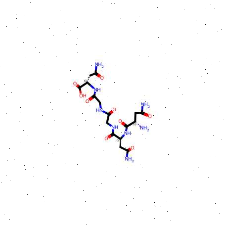 NC(=O)C[C@H](NC(=O)CNC(=O)CNC(=O)[C@H](CC(N)=O)NC(=O)[C@@H](N)CC(N)=O)C(=O)O